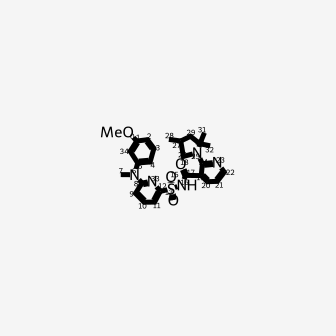 COc1cccc(N(C)c2cccc(S(=O)(=O)NC(=O)c3cccnc3N3CC(C)CC3(C)C)n2)c1